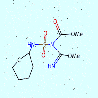 COC(=N)N(C(=O)OC)S(=O)(=O)NC1CCCCC1